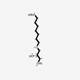 CCCCCCCCCCCCCCCCOC[C@@H](O)COC(C)=O